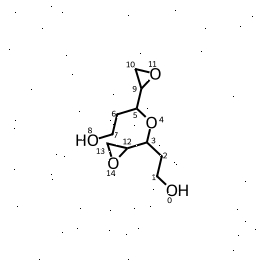 OCCC(OC(CCO)C1CO1)C1CO1